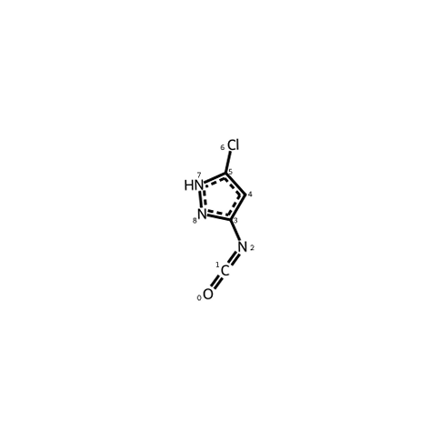 O=C=Nc1cc(Cl)[nH]n1